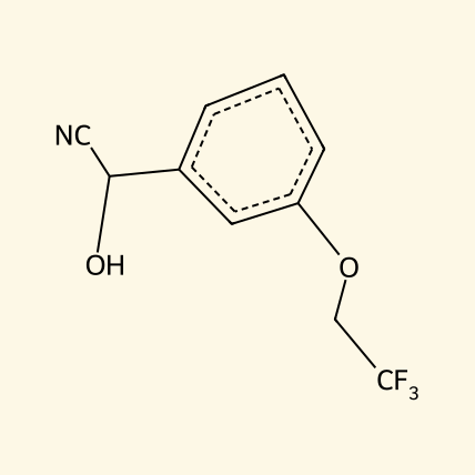 N#CC(O)c1cccc(OCC(F)(F)F)c1